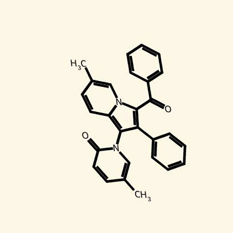 Cc1ccc(=O)n(-c2c(-c3ccccc3)c(C(=O)c3ccccc3)n3cc(C)ccc23)c1